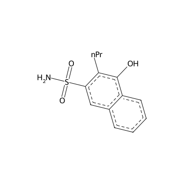 CCCc1c(S(N)(=O)=O)cc2ccccc2c1O